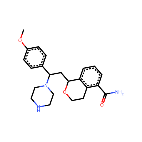 COc1ccc(C(CC2OCCc3c(C(N)=O)cccc32)N2CCNCC2)cc1